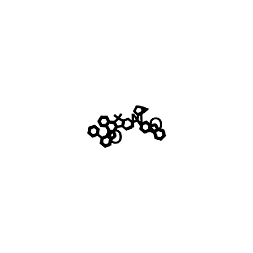 CC1(C)C2=C(C=CC(N(C3=C4C=C4CC3)c3ccc4c(c3)oc3ccccc34)C2)c2c1c1ccccc1c1c2oc2cccc(-c3ccccc3)c21